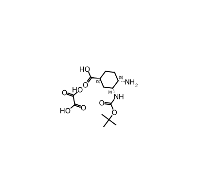 CC(C)(C)OC(=O)N[C@@H]1C[C@@H](C(=O)O)CC[C@@H]1N.O=C(O)C(=O)O